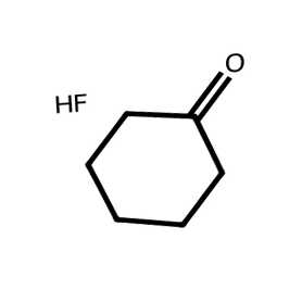 F.O=C1CCCCC1